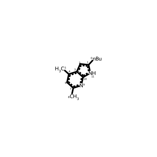 CCCCc1cc2c(C)cc(C)nc2[nH]1